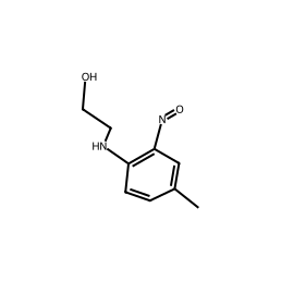 Cc1ccc(NCCO)c(N=O)c1